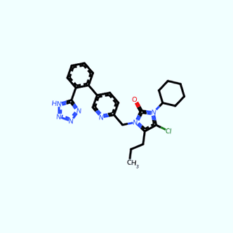 CCCc1c(Cl)n(C2CCCCC2)c(=O)n1Cc1ccc(-c2ccccc2-c2nnn[nH]2)cn1